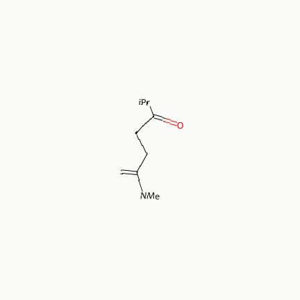 C=C(CCC(=O)C(C)C)NC